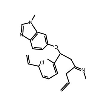 C=CC/C(CC(Oc1ccc2ncn(C)c2c1)/C(C)=C/C=C\C(Cl)C=C)=N\C